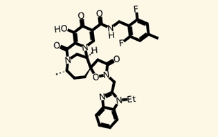 CCn1c(CN2O[C@@]3(CC[C@H](C)N4C[C@H]3n3cc(C(=O)NCc5c(F)cc(C)cc5F)c(=O)c(O)c3C4=O)CC2=O)nc2ccccc21